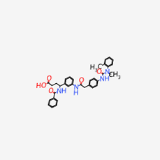 Cc1ccccc1N(C)C(=O)Nc1ccc(CC(=O)Nc2cccc(C(CCC(=O)O)NC(=O)c3ccccc3)c2)cc1